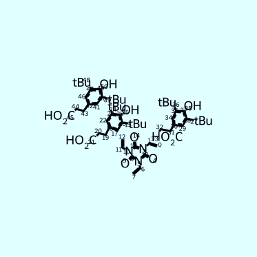 C=Cn1c(=O)n(C=C)c(=O)n(C=C)c1=O.CC(C)(C)c1cc(CCC(=O)O)cc(C(C)(C)C)c1O.CC(C)(C)c1cc(CCC(=O)O)cc(C(C)(C)C)c1O.CC(C)(C)c1cc(CCC(=O)O)cc(C(C)(C)C)c1O